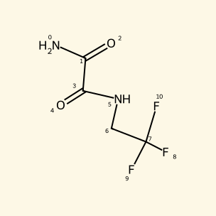 NC(=O)C(=O)NCC(F)(F)F